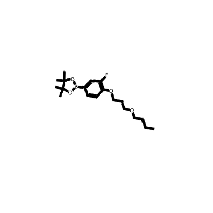 CCCCOCCCOc1ccc(B2OC(C)(C)C(C)(C)O2)cc1F